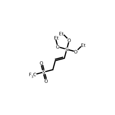 CCO[Si](/C=C/CS(=O)(=O)C(F)(F)F)(OCC)OCC